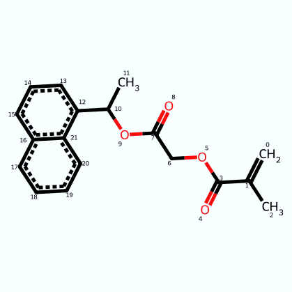 C=C(C)C(=O)OCC(=O)OC(C)c1cccc2ccccc12